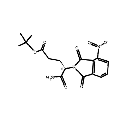 CC(C)(C)OC(=O)CC[C@@H](C(N)=O)N1C(=O)c2cccc([N+](=O)[O-])c2C1=O